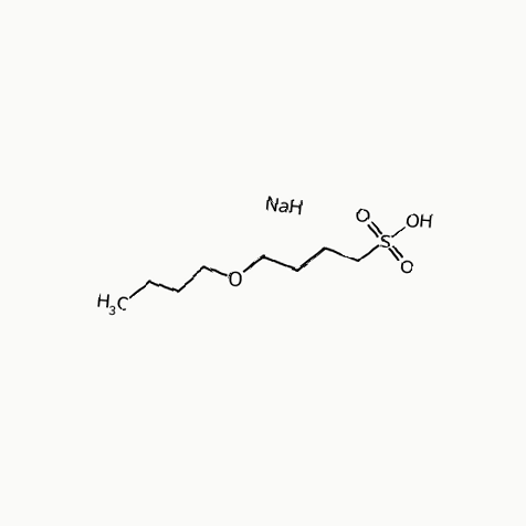 CCCCOCCCCS(=O)(=O)O.[NaH]